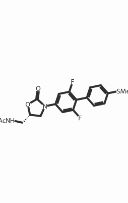 CSc1ccc(-c2c(F)cc(N3C[C@H](CNC(C)=O)OC3=O)cc2F)cc1